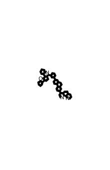 c1cc(-c2ccc3c(ccc4cc(-c5ccnc6c5ccc5cccnc56)ccc43)c2)cc(-c2nc3ccccc3c3c2ccc2c4ccccc4oc23)c1